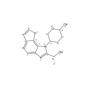 C[C@@H](O)c1nc2cnc3ccoc3c2n1C1CCC(C#N)OC1